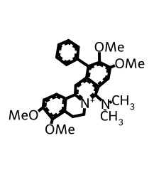 COc1ccc2c(c1OC)CC[n+]1c-2cc2c(-c3ccccc3)c(OC)c(OC)cc2c1N(C)C